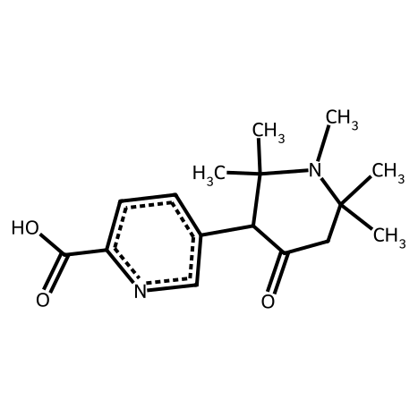 CN1C(C)(C)CC(=O)C(c2ccc(C(=O)O)nc2)C1(C)C